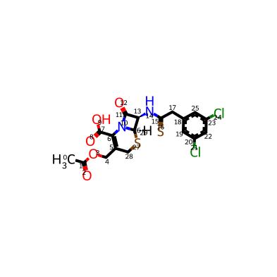 CC(=O)OCC1=C(C(=O)O)N2C(=O)[C@@H](NC(=S)Cc3cc(Cl)cc(Cl)c3)[C@H]2SC1